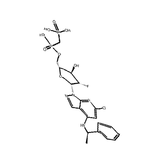 C[C@@H](Nc1cc(Cl)nc2c1cnn2[C@@H]1O[C@H](COP(=O)(O)CP(=O)(O)O)[C@@H](O)[C@@H]1F)c1ccccc1